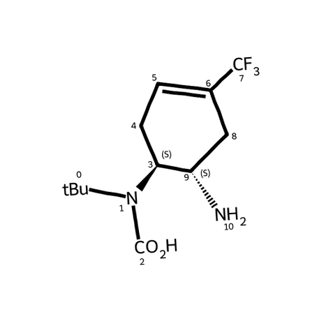 CC(C)(C)N(C(=O)O)[C@H]1CC=C(C(F)(F)F)C[C@@H]1N